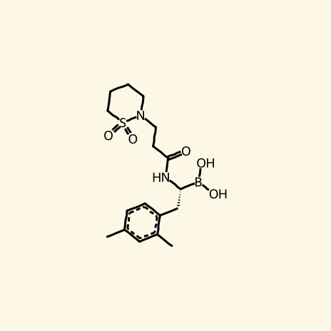 Cc1ccc(C[C@H](NC(=O)CCN2CCCCS2(=O)=O)B(O)O)c(C)c1